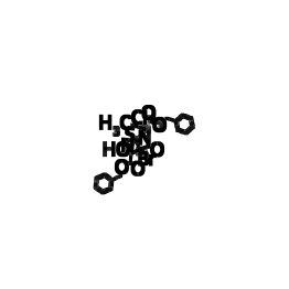 CC1(C)S[C@H]2N(C(=O)[C@@]2(Br)C(O)C(=O)OCc2ccccc2)[C@H]1C(=O)OCc1ccccc1